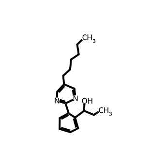 CCCCCCc1cnc(-c2ccccc2C(O)CC)nc1